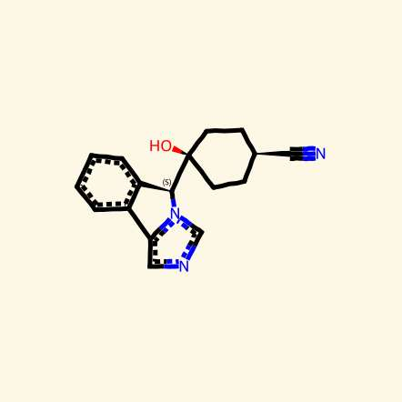 N#C[C@H]1CC[C@](O)([C@@H]2c3ccccc3-c3cncn32)CC1